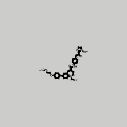 CCCCOCCOc1ccc(-c2ccc3c(c2)C=C(C(=O)Nc2ccc(CC(=O)c4nccn4CCC)cc2)CCN3CC(C)C)cc1